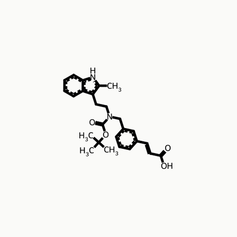 Cc1[nH]c2ccccc2c1CCN(Cc1cccc(/C=C/C(=O)O)c1)C(=O)OC(C)(C)C